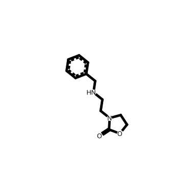 O=C1OCCN1CCNCc1ccccc1